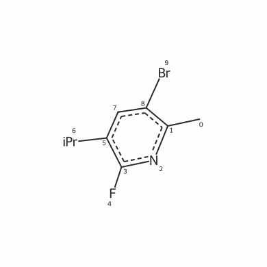 Cc1nc(F)c(C(C)C)cc1Br